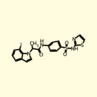 CC(C(=O)Nc1ccc(S(=O)(=O)Nc2nccs2)cc1)n1ccc2cccc(I)c21